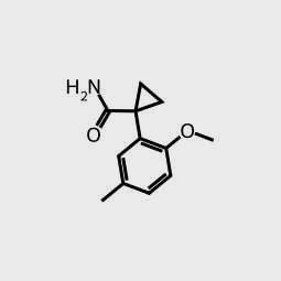 COc1ccc(C)cc1C1(C(N)=O)CC1